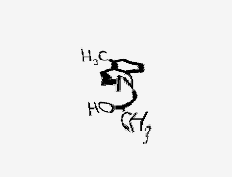 Cc1cccc2c1ccn2C[C@H](C)O